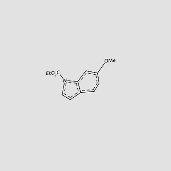 CCOC(=O)n1ccc2ccc(OC)cc21